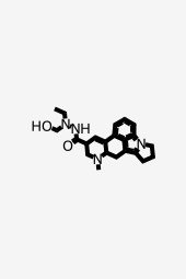 CCN(CO)NC(=O)C1C=C2c3cccc4c3c(c3n4CCC3)CC2N(C)C1